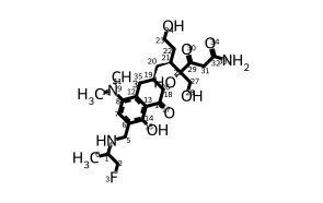 CC(CF)NCc1cc(N(C)C)c2c(c1O)C(=O)C[C@H](C[C@@H](CCO)[C@](O)(CO)C(=O)CC(N)=O)C2